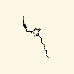 CCCCCCCc1nnn(CC#CI)n1